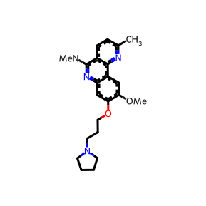 CNc1nc2cc(OCCCN3CCCC3)c(OC)cc2c2nc(C)ccc12